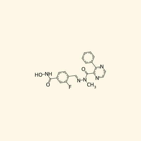 CN(/N=C/c1ccc(C(=O)NO)cc1F)C(=O)c1nccnc1-c1ccccc1